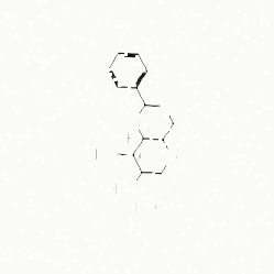 CO[C@H]1OC2COC(c3ccccc3)O[C@@H]2[C@H](O)C1C